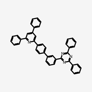 c1ccc(-c2cc(-c3ccccc3)nc(-c3ccc(-c4cccc(-c5nc(-c6ccccc6)nc(-c6ccccc6)n5)c4)cc3)c2)cc1